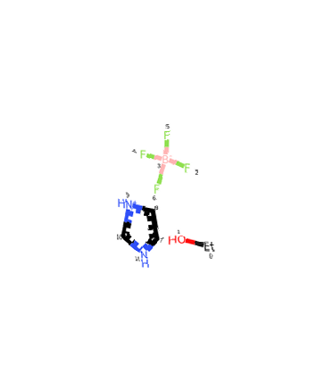 CCO.F[B-](F)(F)F.c1c[nH+]c[nH]1